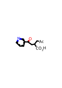 CC(=O)CC(CC(=O)c1cccnc1)C(=O)O